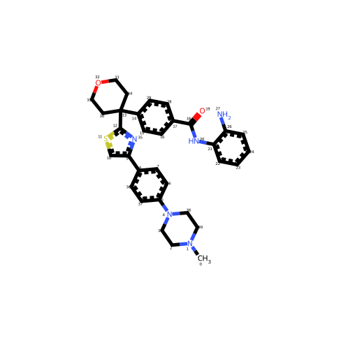 CN1CCN(c2ccc(-c3csc(C4(c5ccc(C(=O)Nc6ccccc6N)cc5)CCOCC4)n3)cc2)CC1